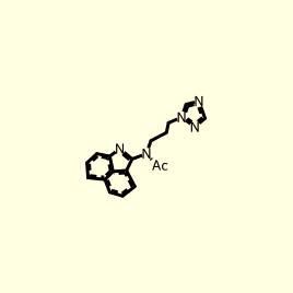 CC(=O)N(CCCn1cncn1)C1=Nc2cccc3cccc1c23